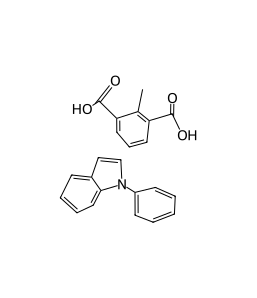 Cc1c(C(=O)O)cccc1C(=O)O.c1ccc(-n2ccc3ccccc32)cc1